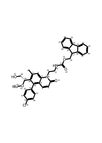 Cc1cc2c(ccc(=O)n2CCNC(=O)OCC2c3ccccc3-c3ccccc32)c(-c2ccc(Cl)cc2)c1[C@@H](CO)OC(C)(C)C